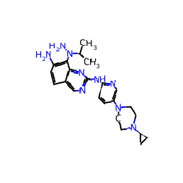 CC(C)N(N)c1c(N)ccc2cnc(Nc3ccc(N4CCN(C5CC5)CC4)cn3)nc12